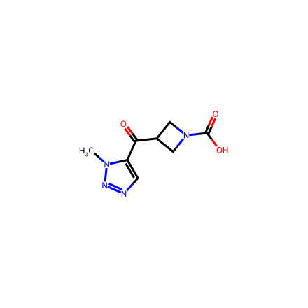 Cn1nncc1C(=O)C1CN(C(=O)O)C1